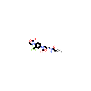 CCC(=O)NC[C@H]1CN(c2ccc(N3CCOC3=O)c(C(F)(F)F)c2)C(=O)O1